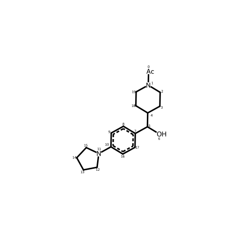 CC(=O)N1CCC(C(O)c2ccc(N3CCCC3)cc2)CC1